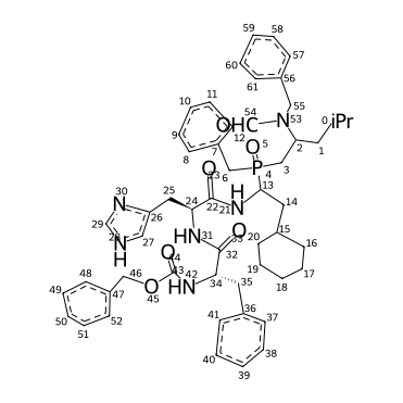 CC(C)CC(CP(=O)(Cc1ccccc1)C(CC1CCCCC1)NC(=O)[C@H](Cc1c[nH]cn1)NC(=O)[C@H](Cc1ccccc1)NC(=O)OCc1ccccc1)N(C=O)Cc1ccccc1